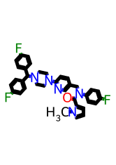 Cn1cccc1C(=O)N(Cc1ccc(N2CCN(C(c3ccc(F)cc3)c3ccc(F)cc3)CC2)nc1)c1ccc(F)cc1